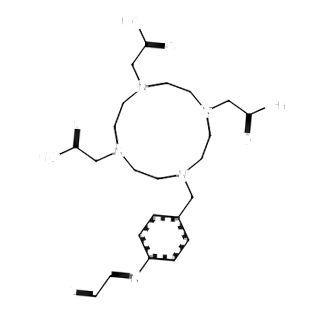 O=C(O)CN1CCN(CC(=O)O)CCN(Cc2ccc(N=CC=S)cc2)CCN(CC(=O)O)CC1